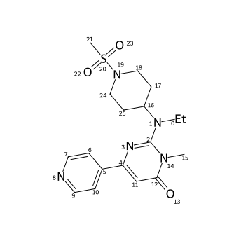 CCN(c1nc(-c2ccncc2)cc(=O)n1C)C1CCN(S(C)(=O)=O)CC1